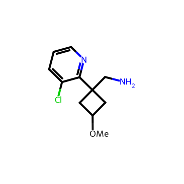 COC1CC(CN)(c2ncccc2Cl)C1